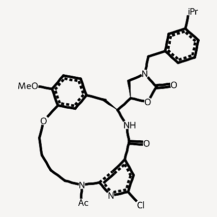 COc1ccc2cc1OCCCCN(C(C)=O)c1cc(cc(Cl)n1)C(=O)N[C@H]([C@H]1CN(Cc3cccc(C(C)C)c3)C(=O)O1)C2